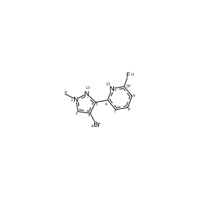 Cn1cc(Br)c(-c2cccc(F)n2)n1